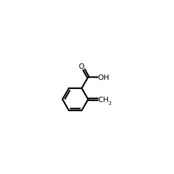 C=C1C=CC=CC1C(=O)O